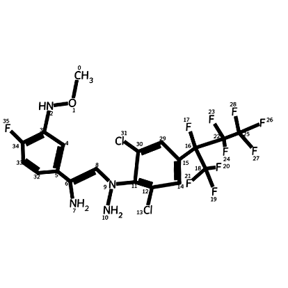 CONc1cc(/C(N)=C/N(N)c2c(Cl)cc(C(F)(C(F)(F)F)C(F)(F)C(F)(F)F)cc2Cl)ccc1F